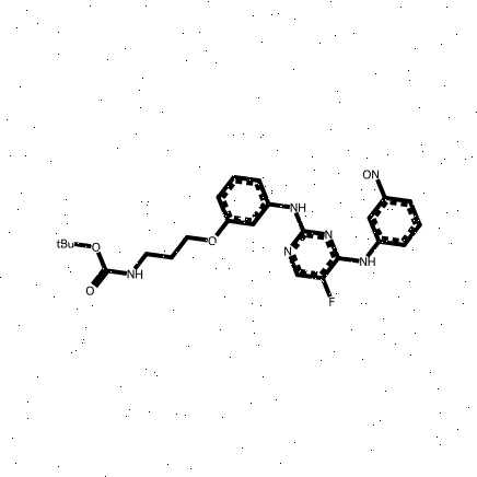 CC(C)(C)OC(=O)NCCCOc1cccc(Nc2ncc(F)c(Nc3cccc(N=O)c3)n2)c1